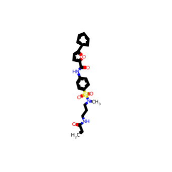 C=CC(=O)NCCCN(C)S(=O)(=O)c1ccc(NC(=O)c2ccc(-c3ccccc3)o2)cc1